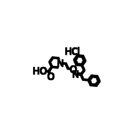 Cl.O=C(O)C1CCCN(CCON=C(Cc2ccccc2)Cc2ccccc2)C1